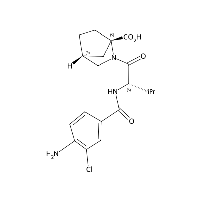 CC(C)[C@H](NC(=O)c1ccc(N)c(Cl)c1)C(=O)N1C[C@@H]2CC[C@@]1(C(=O)O)C2